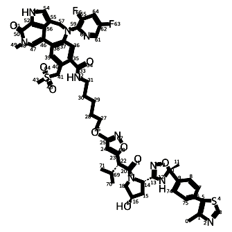 Cc1ncsc1-c1ccc([C@]2(C)NC([C@@H]3C[C@@H](O)CN3C(=O)[C@@H](c3cc(OCCCCCNC(=O)c4cc5c(cc4CS(C)(=O)=O)-c4cn(C)c(=O)c6[nH]cc(c46)CN5c4ncc(F)cc4F)no3)C(C)C)=NO2)cc1